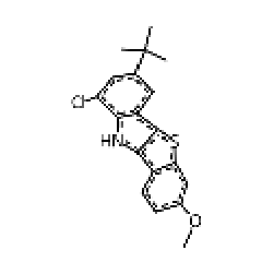 COc1ccc2c(c1)sc1c3cc(C(C)(C)C)cc(Cl)c3[nH]c21